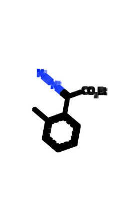 CCOC(=O)C(=[N+]=[N-])c1ccccc1C